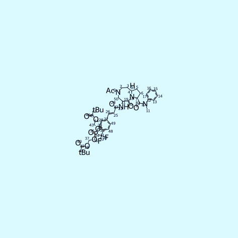 CC(=O)N1CC[C@H]2CC[C@@H](C(=O)N(C)c3ccccc3)N2C(=O)C(NC(=O)/C=C/c2ccc(C(F)(F)P(=O)(OCOC(=O)C(C)(C)C)OCOC(=O)C(C)(C)C)cc2)C1